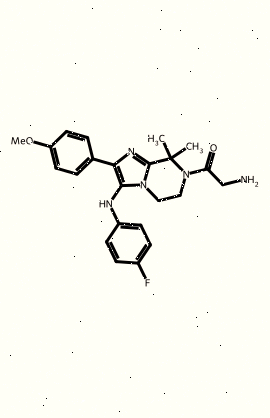 COc1ccc(-c2nc3n(c2Nc2ccc(F)cc2)CCN(C(=O)CN)C3(C)C)cc1